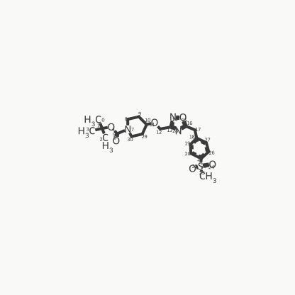 CC(C)(C)OC(=O)N1CCC(OCc2noc(Cc3ccc(S(C)(=O)=O)cc3)n2)CC1